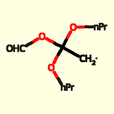 [CH2]C(OC=O)(OCCC)OCCC